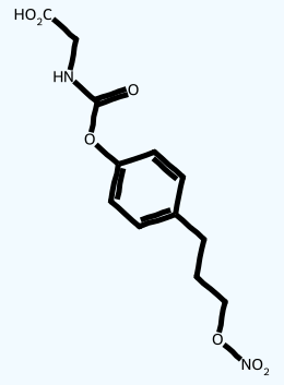 O=C(O)CNC(=O)Oc1ccc(CCCO[N+](=O)[O-])cc1